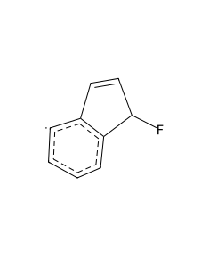 FC1C=Cc2[c]cccc21